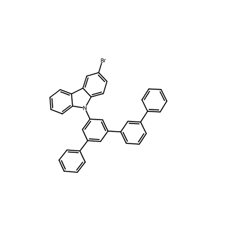 Brc1ccc2c(c1)c1ccccc1n2-c1cc(-c2ccccc2)cc(-c2cccc(-c3ccccc3)c2)c1